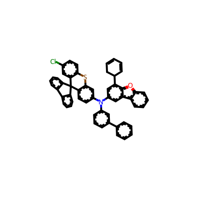 Clc1ccc2c(c1)C1(c3ccc(N(c4cccc(-c5ccccc5)c4)c4cc(C5C=CC=CC5)c5oc6ccccc6c5c4)cc3S2)c2ccccc2-c2ccccc21